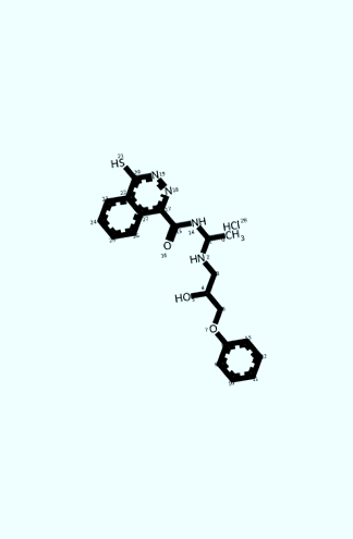 CC(NCC(O)COc1ccccc1)NC(=O)c1nnc(S)c2ccccc12.Cl